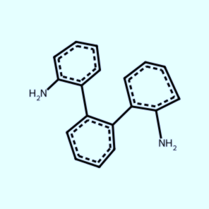 Nc1ccccc1-c1ccccc1-c1ccccc1N